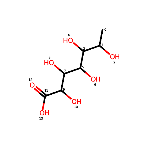 CC(O)C(O)C(O)C(O)C(O)C(=O)O